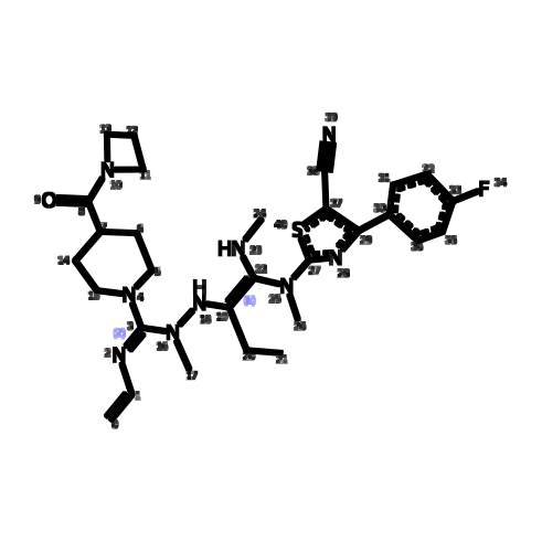 C=C/N=C(/N1CCC(C(=O)N2CCC2)CC1)N(C)N/C(CC)=C(\NC)N(C)c1nc(-c2ccc(F)cc2)c(C#N)s1